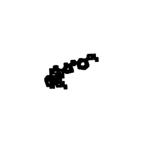 Cc1cccc(Oc2ccc(C(=O)N[C@@H]3C4CCN(CC4)[C@H]3C)s2)c1